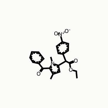 CCOC(=O)C(c1ccc([N+](=O)[O-])cc1)c1cc(C)c(C(=O)c2ccccc2)n1C